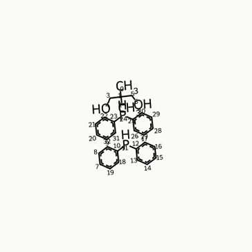 CC(C)(CO)CO.c1ccc(Pc2ccccc2)cc1.c1ccc(Pc2ccccc2)cc1